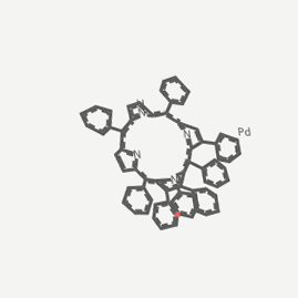 C1=Cc2nc1c(-c1ccccc1)c1ccc([nH]1)c(-c1ccccc1)c1nc(c(-c3ccccc3)c3c(-c4ccccc4)c(-c4ccccc4)c(c2-c2ccccc2)n3-c2ccccc2)C(c2ccccc2)=C1.[Pd]